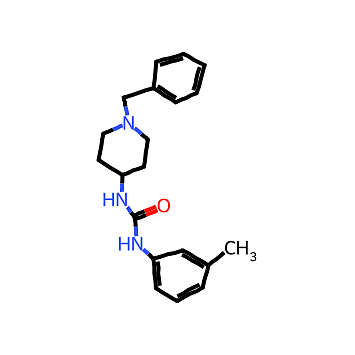 Cc1cccc(NC(=O)NC2CCN(Cc3ccccc3)CC2)c1